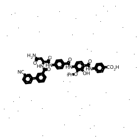 CC(C)Oc1c(NC(=O)c2ccc(NC(=O)C(CC(N)=O)NC(=O)c3cccc(-c4cccc(C#N)c4)c3)cc2)ccc(C(=O)Nc2ccc(C(=O)O)cc2)c1O